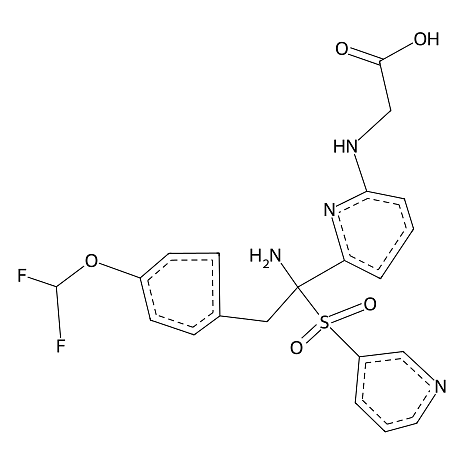 NC(Cc1ccc(OC(F)F)cc1)(c1cccc(NCC(=O)O)n1)S(=O)(=O)c1cccnc1